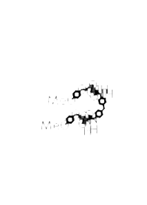 COc1ccc(OCCS(=O)(=O)NC(=O)Nc2ccc(Cc3ccc(NC(=O)NS(=O)(=O)CCOc4ccc(OC)cc4)cc3)cc2)cc1